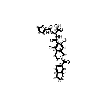 O=C(NC(NC(=O)c1c(Cl)cc2c(c1Cl)CCN(C(=O)c1ccc3ccoc3c1)C2)C(=O)O)c1cccs1